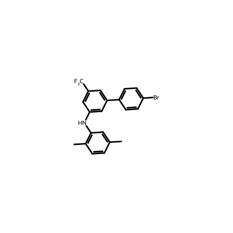 Cc1ccc(C)c(Nc2cc(-c3ccc(Br)cc3)cc(C(F)(F)F)c2)c1